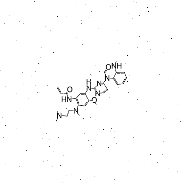 C=CC(=O)Nc1cc(Nc2nccc(N(C=O)c3ccccc3NC)n2)c(OC)cc1N(C)CCN(C)C